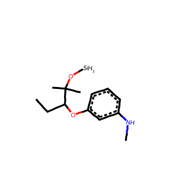 CCC(Oc1cccc(NC)c1)C(C)(C)O[SiH3]